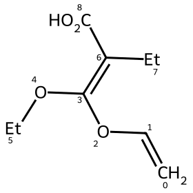 C=COC(OCC)=C(CC)C(=O)O